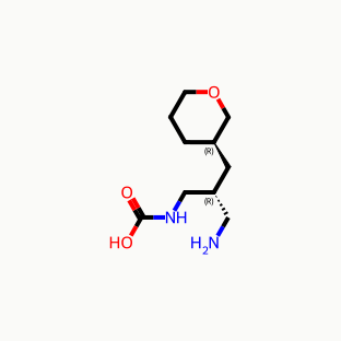 NC[C@H](CNC(=O)O)C[C@H]1CCCOC1